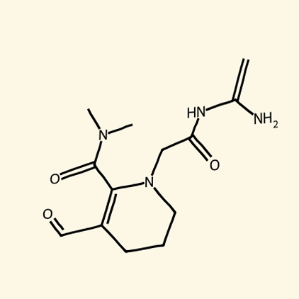 C=C(N)NC(=O)CN1CCCC(C=O)=C1C(=O)N(C)C